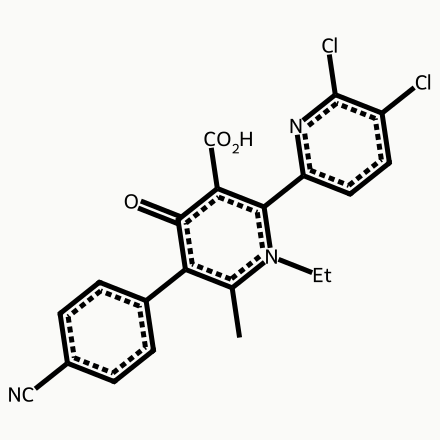 CCn1c(C)c(-c2ccc(C#N)cc2)c(=O)c(C(=O)O)c1-c1ccc(Cl)c(Cl)n1